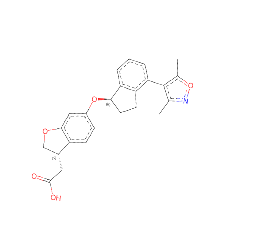 Cc1noc(C)c1-c1cccc2c1CC[C@H]2Oc1ccc2c(c1)OC[C@H]2CC(=O)O